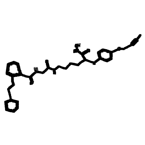 CC#CCOc1ccc(SC(CCCCNC(=O)CNC(=O)c2ccccc2CCc2ccccc2)C(=O)NO)cc1